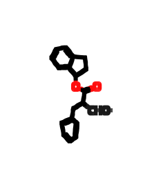 O=[C]C(Cc1ccccc1)C(=O)OC1CCc2ccccc21